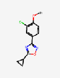 CC(C)Oc1ccc(-c2noc(C3CC3)n2)cc1Cl